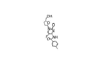 Cc1ccc(C(=O)Nc2nc(=O)n([C@H]3CC[C@@H](CO)O3)cc2F)cc1